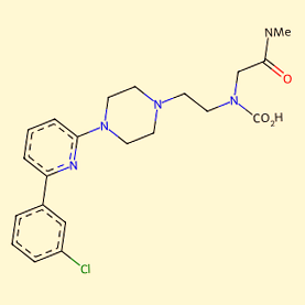 CNC(=O)CN(CCN1CCN(c2cccc(-c3cccc(Cl)c3)n2)CC1)C(=O)O